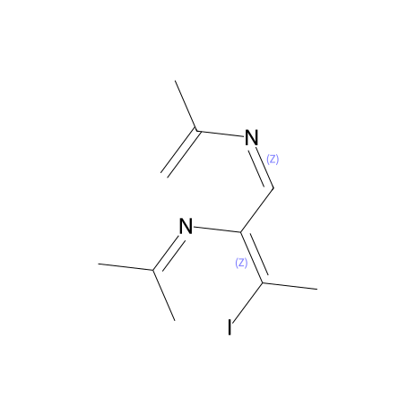 C=C(C)/N=C\C(N=C(C)C)=C(/C)I